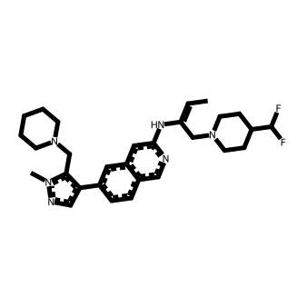 C/C=C(\CN1CCC(C(F)F)CC1)Nc1cc2cc(-c3cnn(C)c3CN3CCCCC3)ccc2cn1